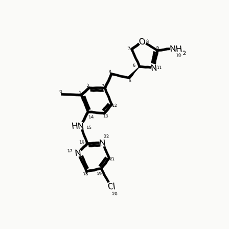 Cc1cc(CC[C@H]2COC(N)=N2)ccc1Nc1ncc(Cl)cn1